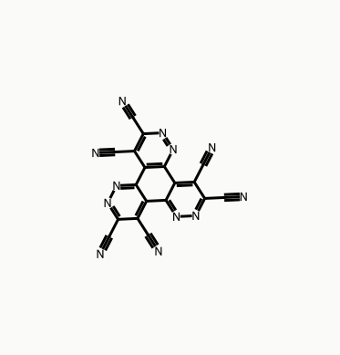 N#Cc1nnc2c(c1C#N)c1nnc(C#N)c(C#N)c1c1nnc(C#N)c(C#N)c21